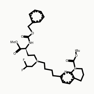 COC(=O)[C@H](CCN(CCCCc1ccc2c(n1)N(C(=O)OC(C)(C)C)CCC2)CC(F)F)NC(=O)OCc1ccccc1